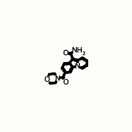 NC(=O)c1c2ccc(C(=O)N3CCOCC3)cc2n2ccccc12